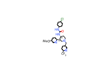 COc1ccc([C@@H]2CN(Cc3ccc(C(F)(F)F)nc3)CC[C@H]2NC(=O)Nc2ccc(Cl)cc2)nc1